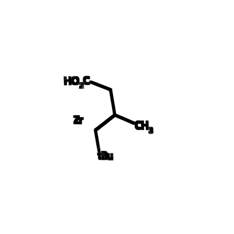 CC(CC(=O)O)CC(C)(C)C.[Zr]